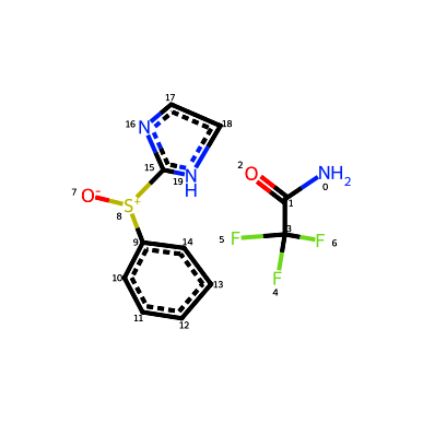 NC(=O)C(F)(F)F.[O-][S+](c1ccccc1)c1ncc[nH]1